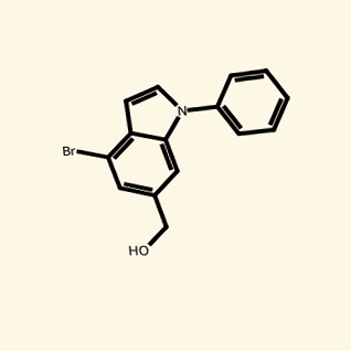 OCc1cc(Br)c2ccn(-c3ccccc3)c2c1